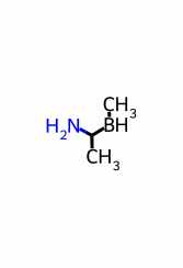 CBC(C)N